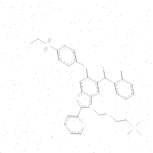 CCS(=O)(=O)c1ccc(Oc2cc3nc(-c4ccccn4)n(COCC[Si](C)(C)C)c3cc2C(O)c2ccccc2F)cc1